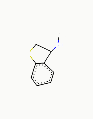 CNC1CSc2ccccc21